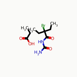 CCC(=O)O.CCC(Br)(CC)C(=O)NC(N)=O